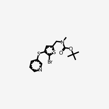 CN(Cc1cc(Sc2cccnc2)c(Br)s1)C(=O)OC(C)(C)C